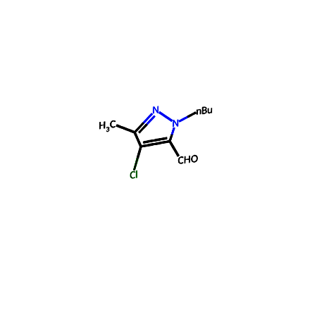 CCCCn1nc(C)c(Cl)c1C=O